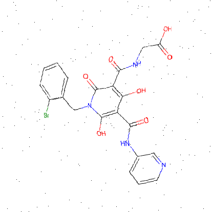 O=C(O)CNC(=O)c1c(O)c(C(=O)Nc2cccnc2)c(O)n(Cc2ccccc2Br)c1=O